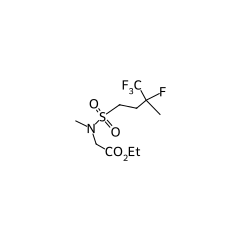 CCOC(=O)CN(C)S(=O)(=O)CCC(C)(F)C(F)(F)F